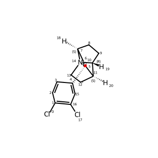 Clc1ccc([C@H]2C[C@@H]3CC[C@@H]4[C@H]2[CH]CN34)cc1Cl